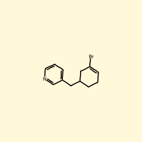 BrC1=CCCC(Cc2cccnc2)C1